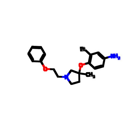 CCc1cc(N)ccc1OC1(C)CCN(CCOc2ccccc2)C1